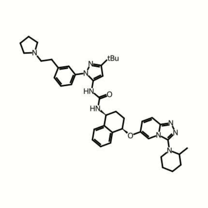 CC1CCCCN1c1nnc2ccc(O[C@@H]3CC[C@H](NC(=O)Nc4cc(C(C)(C)C)nn4-c4cccc(CCN5CCCC5)c4)c4ccccc43)cn12